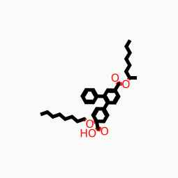 CCCCCCCCOC1(C(=O)O)C=CC(c2ccc(C(=O)OC(C)CCCCCC)cc2-c2ccccc2)=CC1